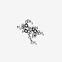 CCCCOCCOc1cc(F)ccc1C(Nc1cc(OC)cc(S(C)(=O)=O)c1)C(=O)c1c[nH]c2cc(OC)c(OC(F)(F)F)cc12